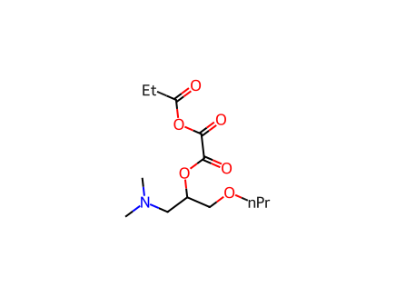 CCCOCC(CN(C)C)OC(=O)C(=O)OC(=O)CC